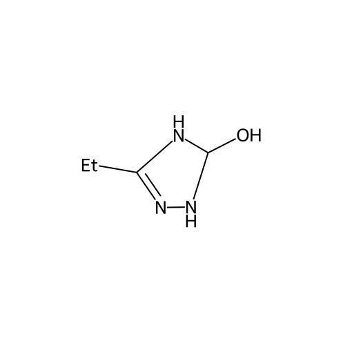 CCC1=NNC(O)N1